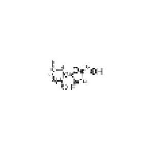 O=c1ncc(I)cn1[C@@H]1O[C@H](CO)C[C@@H]1F